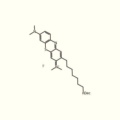 CCCCCCCCCCCCCCCCCc1cc2nc3ccc(N(C)C)cc3sc-2cc1=[N+](C)C.[I-]